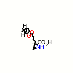 CC1(C)[C@@H]2CC3OB(CCC[C@]4(C)C5CC5N[C@@H]4C(=O)O)O[C@@]3(C)[C@H]1C2